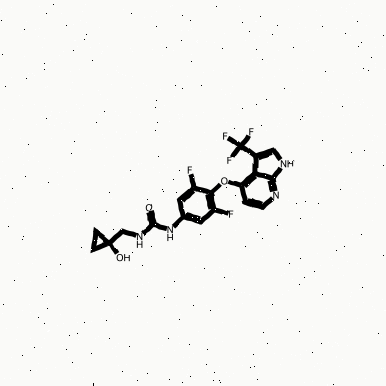 O=C(NCC1(O)CC1)Nc1cc(F)c(Oc2ccnc3[nH]cc(C(F)(F)F)c23)c(F)c1